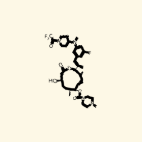 C/C(=C\c1cc(F)cc(N(C)C2CCN(C(=O)C(F)(F)F)CC2)c1)[C@H]1OC(=O)C[C@H](O)CC[C@H](C)[C@@H](OC(=O)N2CCN(C)CC2)/C=C/[C@@H]1C